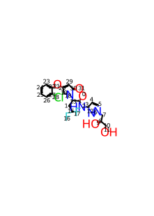 O=C(Nc1ccn(CC(O)CO)n1)C(CC(F)F)N1CC(Oc2ccccc2Cl)=CC1=O